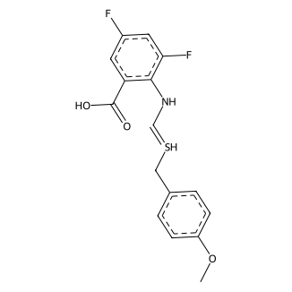 COc1ccc(C[SH]=CNc2c(F)cc(F)cc2C(=O)O)cc1